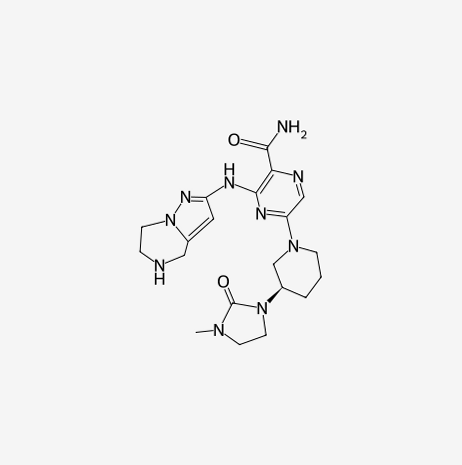 CN1CCN([C@@H]2CCCN(c3cnc(C(N)=O)c(Nc4cc5n(n4)CCNC5)n3)C2)C1=O